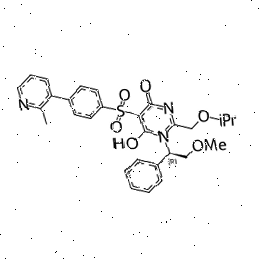 COC[C@@H](c1ccccc1)n1c(COC(C)C)nc(=O)c(S(=O)(=O)c2ccc(-c3cccnc3C)cc2)c1O